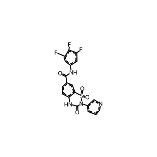 O=C(Nc1cc(F)c(F)c(F)c1)c1ccc2c(c1)S(=O)(=O)N(c1cccnc1)C(=O)N2